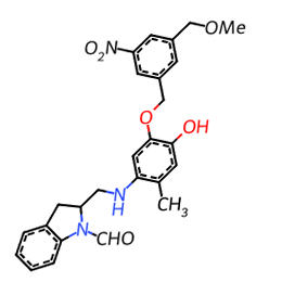 COCc1cc(COc2cc(NCC3Cc4ccccc4N3C=O)c(C)cc2O)cc([N+](=O)[O-])c1